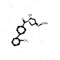 CO/N=C1\C[C@@H](C#N)N(C(=O)c2ccc(-c3ccccc3C)cc2)C1